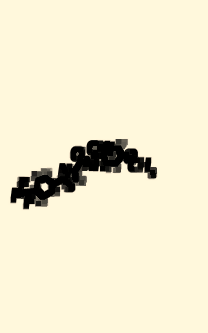 COc1ccc(C(C)NC(=O)c2csc(-c3ccc(C(F)(F)F)cc3)n2)nc1